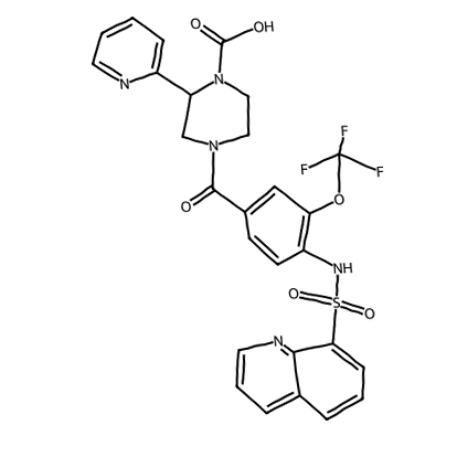 O=C(c1ccc(NS(=O)(=O)c2cccc3cccnc23)c(OC(F)(F)F)c1)N1CCN(C(=O)O)C(c2ccccn2)C1